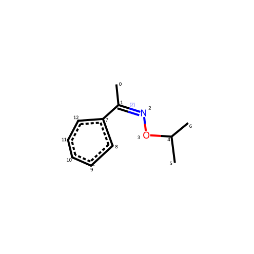 C/C(=N/OC(C)C)c1c[c]ccc1